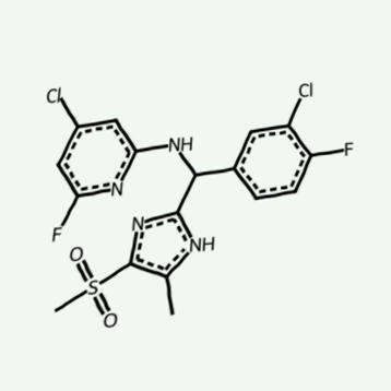 Cc1[nH]c(C(Nc2cc(Cl)cc(F)n2)c2ccc(F)c(Cl)c2)nc1S(C)(=O)=O